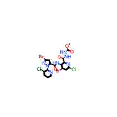 COC(=O)NNC(=O)c1nc(Cl)cc(Br)c1NC(=O)c1cc(Br)nn1-c1ncccc1Cl